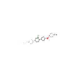 CCCCCC1CCC(c2ccc(-c3ccc(C(=O)OC4CCC(CCC)CC4)cc3)c(F)c2)CC1